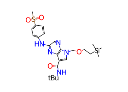 CC(C)(C)NC(=O)c1cn(COCC[Si](C)(C)C)c2ncc(Nc3ccc(S(C)(=O)=O)cc3)nc12